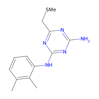 CSCc1nc(N)nc(Nc2cccc(C)c2C)n1